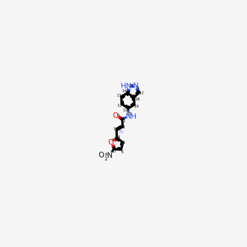 O=C(/C=C/c1ccc([N+](=O)[O-])o1)Nc1ccc2[nH]ncc2c1